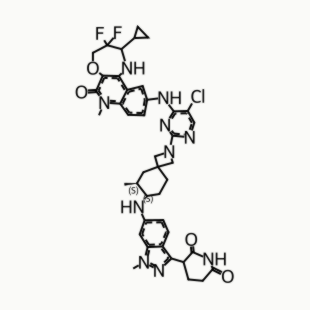 C[C@H]1CC2(CC[C@@H]1Nc1ccc3c(C4CCC(=O)NC4=O)nn(C)c3c1)CN(c1ncc(Cl)c(Nc3ccc4c(c3)c3c(c(=O)n4C)OCC(F)(F)C(C4CC4)N3)n1)C2